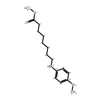 COC(=O)CCCCCCCNc1ccc(OC)cc1